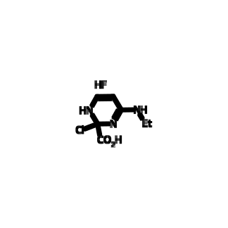 CCNC1=NC(Cl)(C(=O)O)NC=C1.F